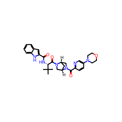 CC(C)(C)[C@H](NC(=O)c1cc2ccccc2[nH]1)C(=O)N1C[C@@H]2C[C@H]1CN2C(=O)c1ccc(N2CCOCC2)cn1